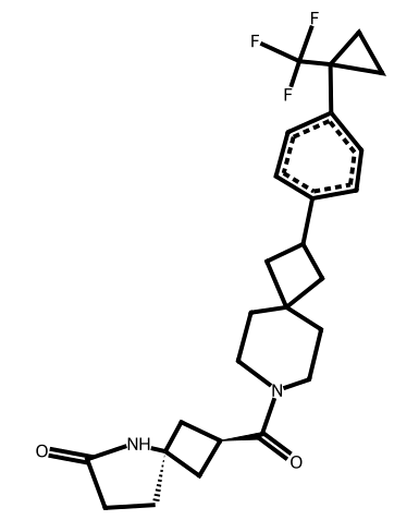 O=C1CC[C@]2(C[C@H](C(=O)N3CCC4(CC3)CC(c3ccc(C5(C(F)(F)F)CC5)cc3)C4)C2)N1